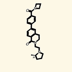 C[C@@H]1CCCN1CCN1CCc2cc(-c3ccc(C(=O)N4CCC4)cc3)ccc2C1=O